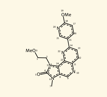 COCCn1c(=O)n(C)c2cnc3ccc(-c4ccc(OC)nc4)nc3c21